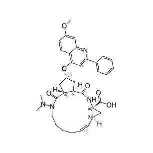 COc1ccc2c(O[C@@H]3C[C@H]4C(=O)N[C@]5(C(=O)O)C[C@H]5/C=C\CCCCN(N(C)C)C(=O)[C@@H]4C3)cc(-c3ccccc3)nc2c1